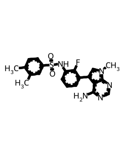 Cc1ccc(S(=O)(=O)Nc2cccc(-c3cn(C)c4ncnc(N)c34)c2F)cc1C